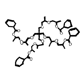 CC(COCC(COCC(C)OCC(C)OC(=O)C1CC=CCC1)(COCC(C)OCC(C)OC(=O)C1CC=CCC1)COCC(C)OCC(C)OC(=O)C1CC=CCC1)OCC(C)OC(=O)C1CC=CCC1